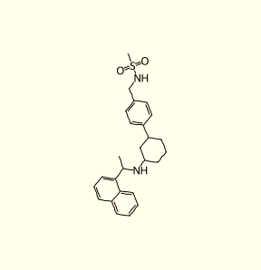 CC(NC1CCCC(c2ccc(CNS(C)(=O)=O)cc2)C1)c1cccc2ccccc12